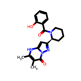 Cc1[nH]c2cc([C@@H]3CCCCN3C(=O)c3ccccc3O)nn2c(=O)c1C